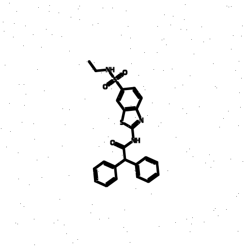 CCNS(=O)(=O)c1ccc2nc(NC(=O)C(c3ccccc3)c3ccccc3)sc2c1